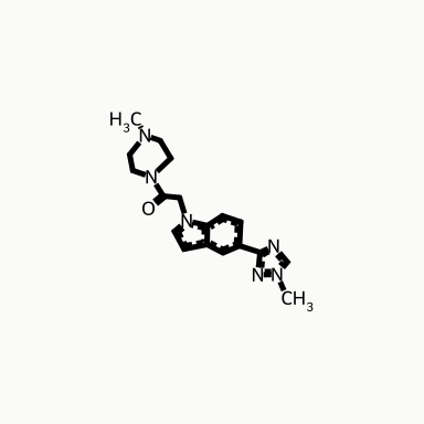 CN1CCN(C(=O)Cn2ccc3cc(-c4ncn(C)n4)ccc32)CC1